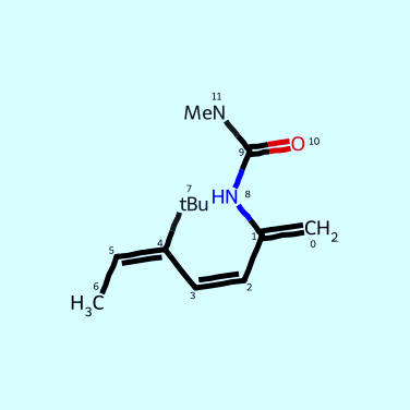 C=C(/C=C\C(=C/C)C(C)(C)C)NC(=O)NC